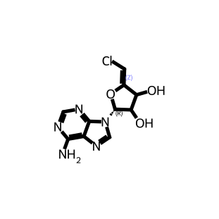 Nc1ncnc2c1ncn2[C@@H]1O/C(=C\Cl)C(O)C1O